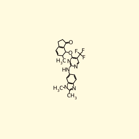 Cc1nc2ccc(Nc3ncc(C(F)(F)F)c(OC4C5=C(C=CC4C)CCC5=O)n3)cc2n1C